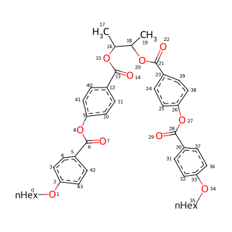 CCCCCCOc1ccc(C(=O)Oc2ccc(C(=O)OC(C)C(C)OC(=O)c3ccc(OC(=O)c4ccc(OCCCCCC)cc4)cc3)cc2)cc1